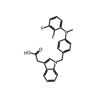 CN(c1ccc(Cn2cc(CC(=O)O)c3ccccc32)cc1)c1cccc(F)c1F